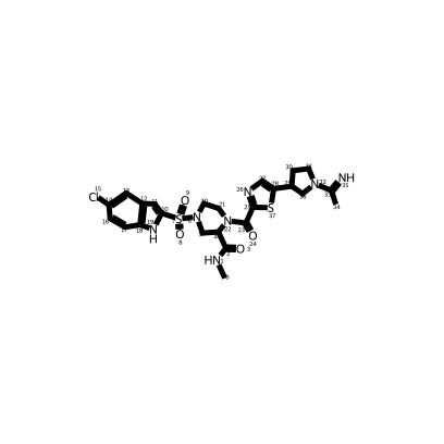 CNC(=O)C1CN(S(=O)(=O)c2cc3cc(Cl)ccc3[nH]2)CCN1C(=O)c1ncc(C2CCN(C(C)=N)C2)s1